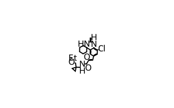 C=C1Nc2c(Cl)cc3cc(C(=O)NCC4(COCC)CC4)oc3c2C2(CCCCC2)N1